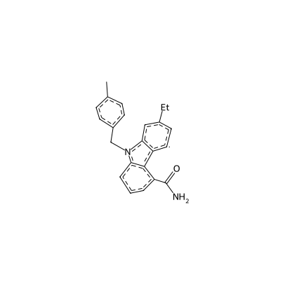 CCc1c[c]c2c3c(C(N)=O)cccc3n(Cc3ccc(C)cc3)c2c1